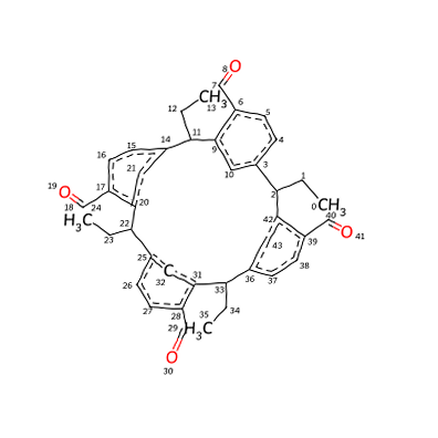 CCC1c2ccc(C=O)c(c2)C(CC)c2ccc(C=O)c(c2)C(CC)c2ccc(C=O)c(c2)C(CC)c2ccc(C=O)c1c2